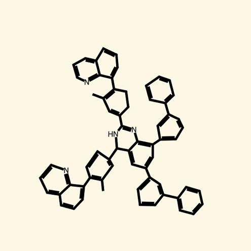 CC1=C(c2cccc3cccnc23)CCC(C2=Nc3c(-c4cccc(-c5ccccc5)c4)cc(-c4cccc(-c5ccccc5)c4)cc3C(c3ccc(-c4cccc5cccnc45)c(C)c3)N2)=C1